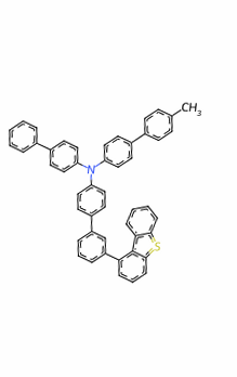 Cc1ccc(-c2ccc(N(c3ccc(-c4ccccc4)cc3)c3ccc(-c4cccc(-c5cccc6sc7ccccc7c56)c4)cc3)cc2)cc1